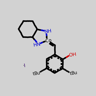 CC(C)(C)c1cc([CH]=[Co]2[NH]C3CCCCC3[NH]2)c(O)c(C(C)(C)C)c1.[I]